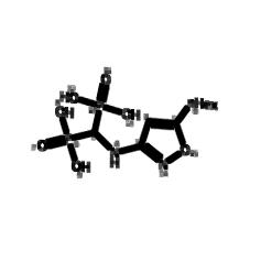 CCCCCCc1cc(NC(P(=O)(O)O)P(=O)(O)O)no1